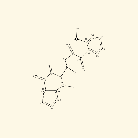 C=C(CN(C)CC(=C)C(=O)c1ccccc1OC)C(=O)c1ccccc1OC